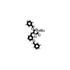 CC(C)(C)OC(=O)NC(Cc1cccc(OCc2ccccc2)c1)C(=O)OCc1ccccc1